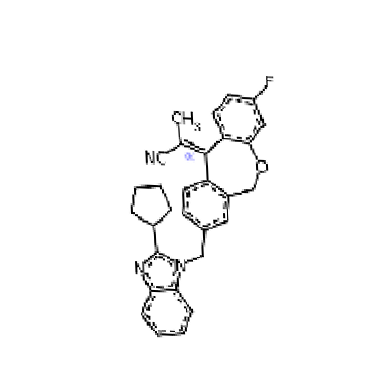 C/C(C#N)=C1/c2ccc(Cn3c(C4CCCC4)nc4ccccc43)cc2COc2cc(F)ccc21